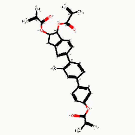 C=C(C)C(=O)Oc1ccc(-c2ccc(-c3ccc4c(c3)CC(OC(=O)C(=C)C)C4OC(=O)C(=C)C)c(C)c2)cc1